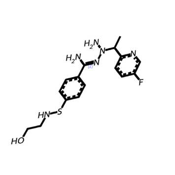 CC(c1ccc(F)cn1)N(N)/N=C(\N)c1ccc(SNCCO)cc1